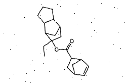 CCC1(OC(=O)C2CC3C=CC2C3)CC2CC1C1CCCC21